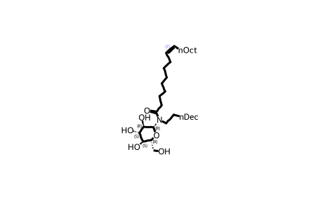 CCCCCCCC/C=C\CCCCCCCC(=O)N(CCCCCCCCCCCC)[C@@H]1O[C@H](CO)[C@@H](O)[C@H](O)[C@H]1O